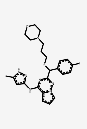 Cc1cc(Nc2nc(C(SCCCN3CCOCC3)c3ccc(F)cc3)nn3cccc23)n[nH]1